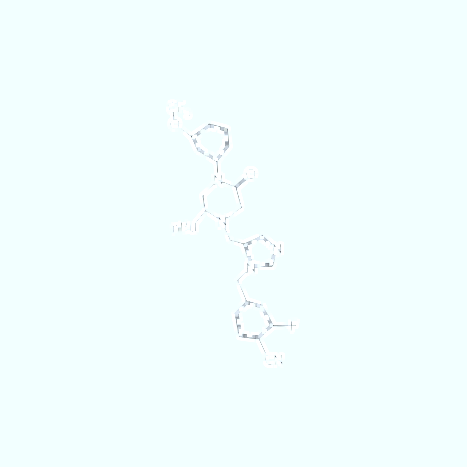 CCCCC1CN(c2cccc(OC(F)(F)F)c2)C(=O)CN1Cc1cncn1Cc1ccc(C#N)c(F)c1